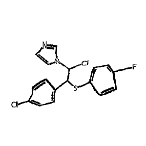 Fc1ccc(SC(c2ccc(Cl)cc2)C(Cl)n2ccnc2)cc1